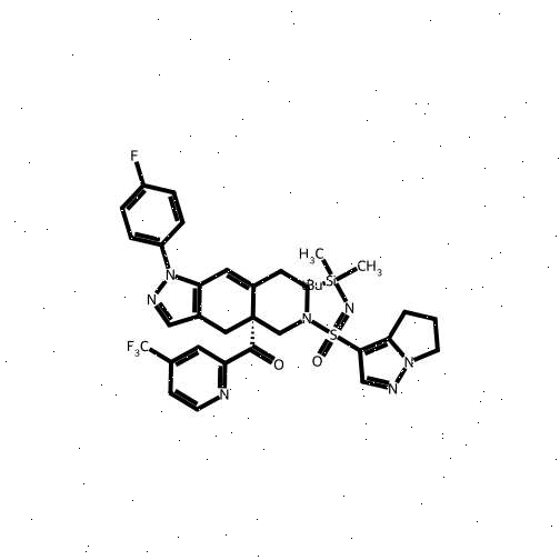 CC(C)(C)[Si](C)(C)N=S(=O)(c1cnn2c1CCC2)N1CCC2=Cc3c(cnn3-c3ccc(F)cc3)C[C@]2(C(=O)c2cc(C(F)(F)F)ccn2)C1